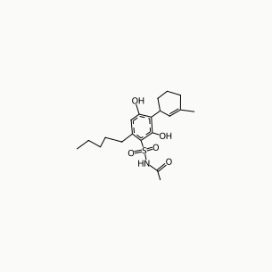 CCCCCc1cc(O)c(C2C=C(C)CCC2)c(O)c1S(=O)(=O)NC(C)=O